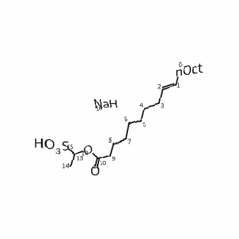 CCCCCCCCC=CCCCCCCCC(=O)OC(C)S(=O)(=O)O.[NaH]